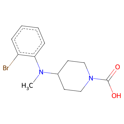 CN(c1ccccc1Br)C1CCN(C(=O)O)CC1